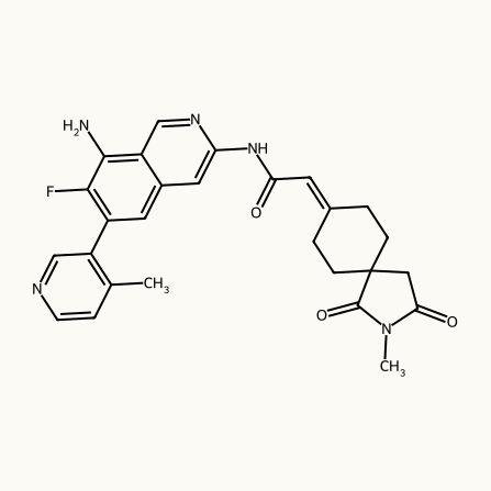 Cc1ccncc1-c1cc2cc(NC(=O)C=C3CCC4(CC3)CC(=O)N(C)C4=O)ncc2c(N)c1F